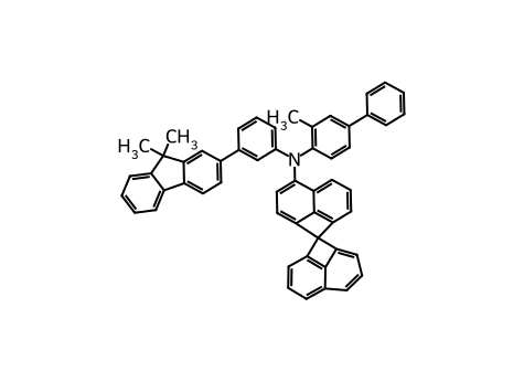 Cc1cc(-c2ccccc2)ccc1N(c1cccc(-c2ccc3c(c2)C(C)(C)c2ccccc2-3)c1)c1ccc2c3c(cccc13)C21c2cccc3cccc1c23